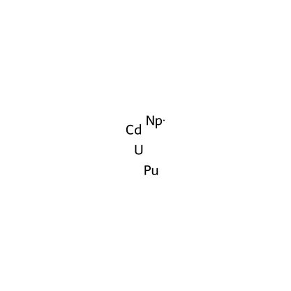 [Cd].[Np].[Pu].[U]